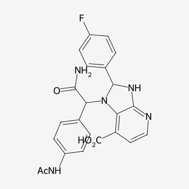 CC(=O)Nc1ccc(C(C(N)=O)N2c3c(C(=O)O)ccnc3NC2c2ccc(F)cc2)cc1